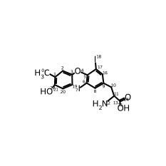 Cc1cc(Oc2c(I)cc(CC(N)C(=O)O)cc2I)ccc1O